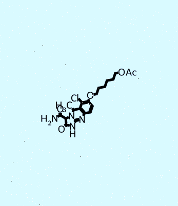 CC(=O)OCCCCCCOc1ccc2c(c1Cl)C(C)N1C(=N2)NC(=O)C1C(N)=O